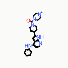 CN1CCN(C(=O)N2CC=C(c3cc4c(Nc5ccccc5)ccnc4[nH]3)CC2)CC1